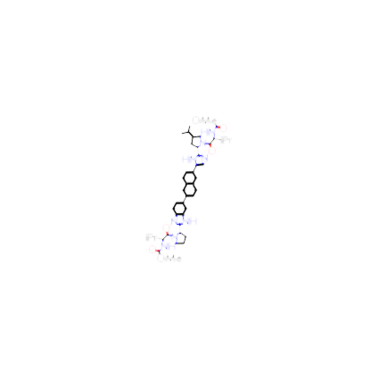 COC(=O)N[C@H](C(=O)N1CC(=C(C)C)C[C@H]1c1ncc(-c2ccc3cc(-c4ccc5nc([C@@H]6CCCN6C(=O)[C@@H](NC(=O)OC)C(C)C)[nH]c5c4)ccc3c2)[nH]1)C(C)C